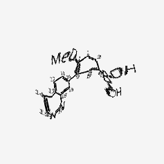 COc1ccc(B(O)O)cc1-c1ccc2ccnnc2c1